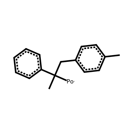 Cc1ccc(C[C](C)([Po])c2ccccc2)cc1